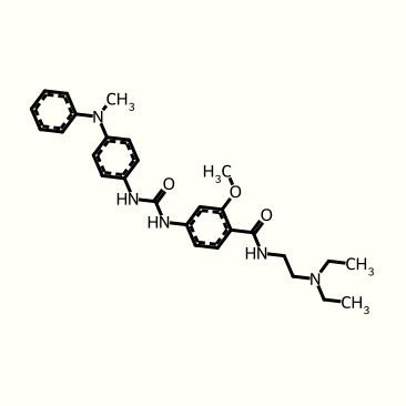 CCN(CC)CCNC(=O)c1ccc(NC(=O)Nc2ccc(N(C)c3ccccc3)cc2)cc1OC